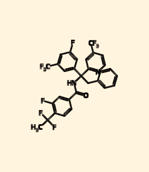 CC(F)(F)c1ccc(C(=O)NC(Cc2ccccc2)(c2cc(F)cc(C(F)(F)F)c2)c2cc(C(F)(F)F)ccn2)cc1F